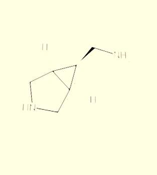 NC[C@H]1[C@H]2CNC[C@@H]12